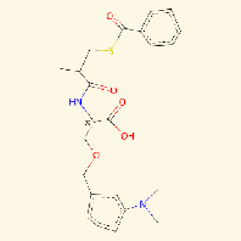 CC(CSC(=O)c1ccccc1)C(=O)N[C@@H](COCc1cccc(N(C)C)c1)C(=O)O